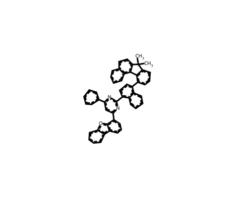 CC1(C)c2cccc(-c3ccc(-c4nc(-c5ccccc5)cc(-c5cccc6c5oc5ccccc56)n4)c4ccccc34)c2-c2c1ccc1ccccc21